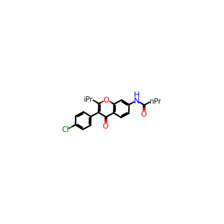 CCCC(=O)Nc1ccc2c(=O)c(-c3ccc(Cl)cc3)c(C(C)C)oc2c1